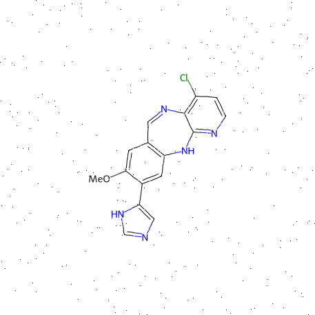 COc1cc2c(cc1-c1cnc[nH]1)Nc1nccc(Cl)c1N=C2